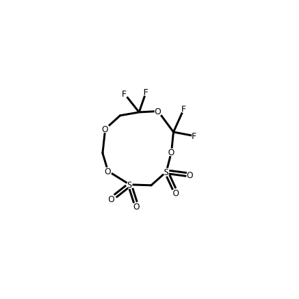 O=S1(=O)CS(=O)(=O)OC(F)(F)OC(F)(F)COCO1